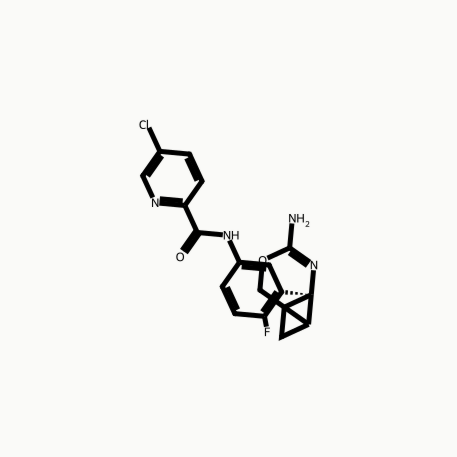 NC1=N[C@@]2(c3cc(NC(=O)c4ccc(Cl)cn4)ccc3F)C3CC32CO1